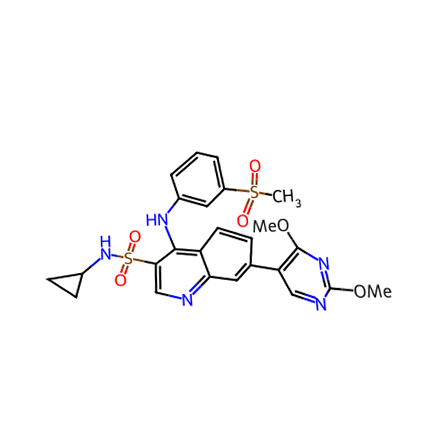 COc1ncc(-c2ccc3c(Nc4cccc(S(C)(=O)=O)c4)c(S(=O)(=O)NC4CC4)cnc3c2)c(OC)n1